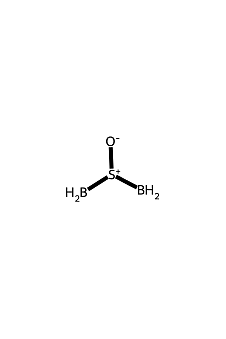 B[S+](B)[O-]